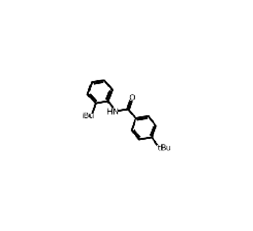 CCC(C)c1ccccc1NC(=O)c1ccc(C(C)(C)C)cc1